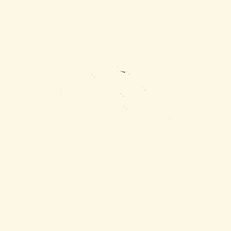 Oc1cc(C(F)(F)F)ccc1-c1nnc(N[C@@H]2CCCN(CC(F)F)C2)n2cccc12